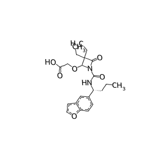 CCC[C@@H](NC(=O)N1C(=O)C(CC)(CC)C1OCC(=O)O)c1ccc2occc2c1